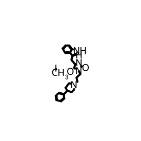 CI.O=C1NC(Cc2c[nH]c3ccccc23)C(=O)N1CCCN1CCC(c2ccccc2)CC1